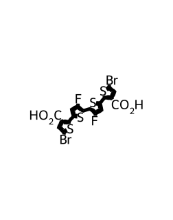 O=C(O)c1cc(Br)sc1-c1cc(F)c(-c2sc(-c3sc(Br)cc3C(=O)O)cc2F)s1